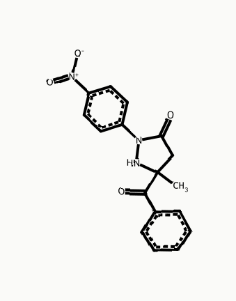 CC1(C(=O)c2ccccc2)CC(=O)N(c2ccc([N+](=O)[O-])cc2)N1